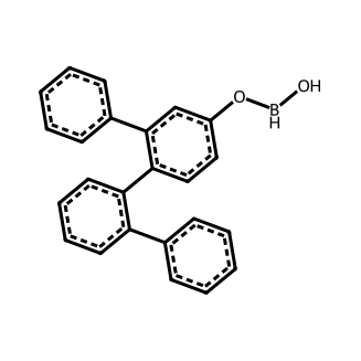 OBOc1ccc(-c2ccccc2-c2ccccc2)c(-c2ccccc2)c1